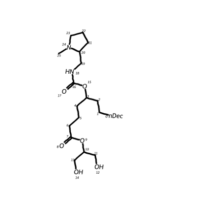 CCCCCCCCCCCCC(CCCC(=O)OC(CO)CO)OC(=O)NCC1CCCN1C